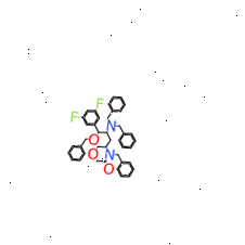 O=C1COCC(CC(C(OCc2ccccc2)c2cc(F)cc(F)c2)N(Cc2ccccc2)Cc2ccccc2)N1Cc1ccccc1